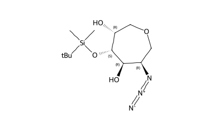 CC(C)(C)[Si](C)(C)O[C@H]1[C@H](O)[C@H](N=[N+]=[N-])COC[C@H]1O